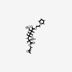 CC(C)(C)CC(C)(C(=O)OCCN1CCCC1)C(C)(C)C(C)(C)CC(C)(C(=O)OCC1CO1)C(C)(C)C